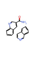 NC(=O)c1cnc2ccccc2c1.c1ccc2cnccc2c1